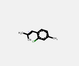 C/C(C#N)=C/c1ccc(C)cc1Cl